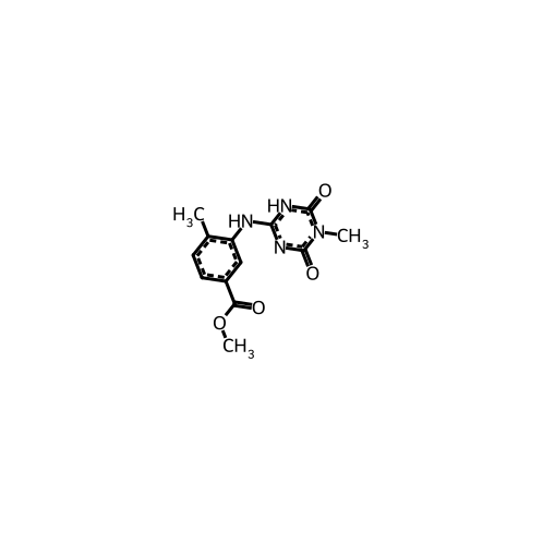 COC(=O)c1ccc(C)c(Nc2nc(=O)n(C)c(=O)[nH]2)c1